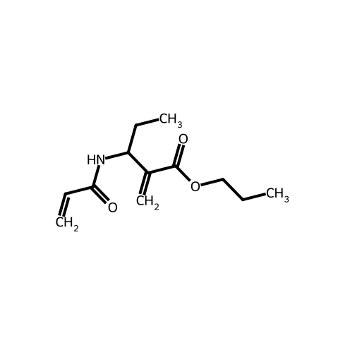 C=CC(=O)NC(CC)C(=C)C(=O)OCCC